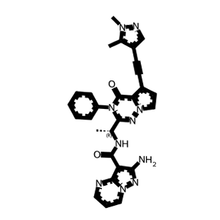 Cc1c(C#Cc2ccn3nc([C@@H](C)NC(=O)c4c(N)nn5cccnc45)n(-c4ccccc4)c(=O)c23)cnn1C